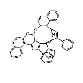 C1=C(c2ccccc2)/C2=C(\c3cccs3)c3c(-c4ccccc4)cc4n3B(Oc3ccc5ccccc5c3C1=N2)Oc1ccc2ccccc2c1-4